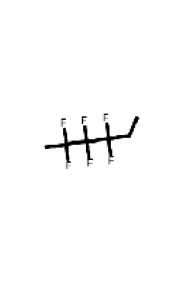 CCC(F)(F)C(F)(F)C(C)(F)F